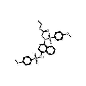 CCOC(=O)SN(c1ncc(NS(=O)(=O)c2ccc(OC)cc2)c2ccccc12)S(=O)(=O)c1ccc(OC)cc1